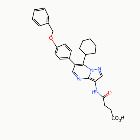 O=C(O)CCC(=O)Nc1cnn2c(C3CCCCC3)c(-c3ccc(OCc4ccccc4)cc3)cnc12